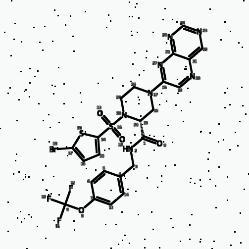 O=C(NCc1ccc(OC(F)(F)F)cc1)[C@H]1CN(c2cnc3cncnc3n2)CCN1S(=O)(=O)c1ccc(Br)s1